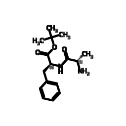 C[C@H](N)C(=O)N[C@@H](Cc1ccccc1)C(=O)OC(C)(C)C